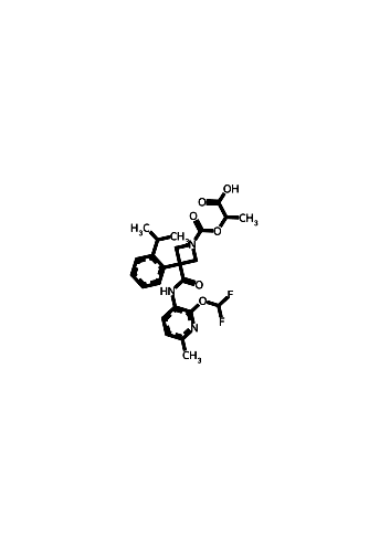 Cc1ccc(NC(=O)C2(c3ccccc3C(C)C)CN(C(=O)OC(C)C(=O)O)C2)c(OC(F)F)n1